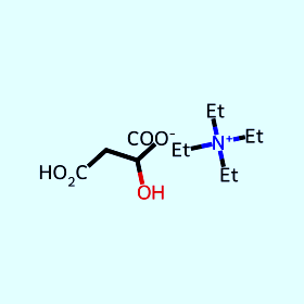 CC[N+](CC)(CC)CC.O=C(O)CC(O)C(=O)[O-]